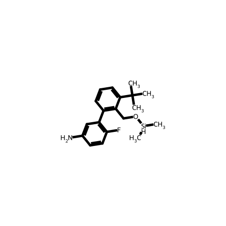 C[SiH](C)OCc1c(-c2cc(N)ccc2F)cccc1C(C)(C)C